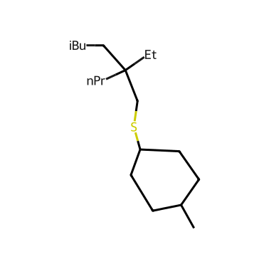 CCCC(CC)(CSC1CCC(C)CC1)CC(C)CC